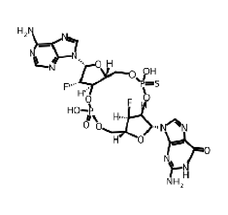 Nc1nc2c(ncn2[C@@H]2O[C@@H]3COP(=O)(O)O[C@H]4[C@H](F)[C@H](n5cnc6c(N)ncnc65)O[C@@H]4COP(O)(=S)O[C@@H]2[C@@H]3F)c(=O)[nH]1